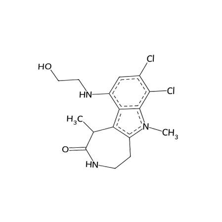 CC1C(=O)NCCc2c1c1c(NCCO)cc(Cl)c(Cl)c1n2C